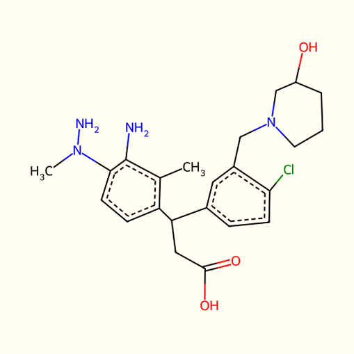 Cc1c(C(CC(=O)O)c2ccc(Cl)c(CN3CCCC(O)C3)c2)ccc(N(C)N)c1N